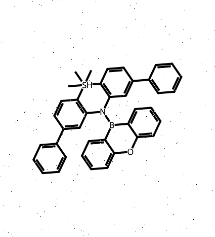 C[SH]1(C)(C)c2ccc(-c3ccccc3)cc2N(B2c3ccccc3Oc3ccccc32)c2cc(-c3ccccc3)ccc21